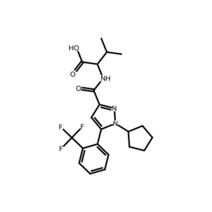 CC(C)C(NC(=O)c1cc(-c2ccccc2C(F)(F)F)n(C2CCCC2)n1)C(=O)O